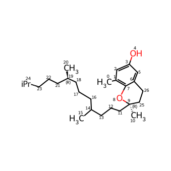 Cc1cc(O)cc2c1O[C@](C)(CCCC(C)CCC[C@H](C)CCCC(C)C)CC2